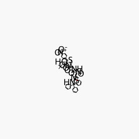 CON=C(C(=O)NC1C(=O)N2C1CSC(c1ccc([N+](=O)[O-])cc1)C2(O)C(=O)OC(C)(C)C)c1csc(NC(c2ccccc2)(c2ccccc2)c2ccccc2)n1